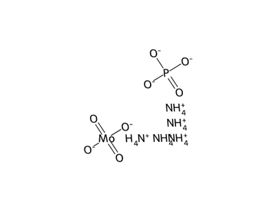 O=P([O-])([O-])[O-].[NH4+].[NH4+].[NH4+].[NH4+].[NH4+].[O]=[Mo](=[O])([O-])[O-]